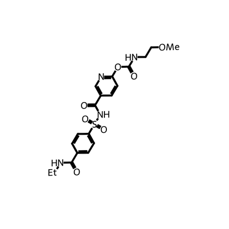 CCNC(=O)c1ccc(S(=O)(=O)NC(=O)c2ccc(OC(=O)NCCOC)nc2)cc1